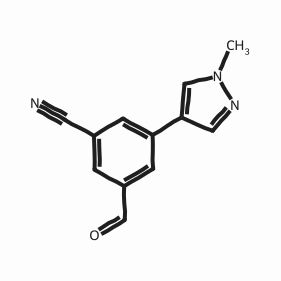 Cn1cc(-c2cc(C#N)cc(C=O)c2)cn1